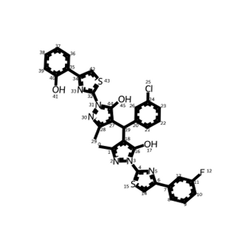 Cc1nn(-c2nc(-c3cccc(F)c3)cs2)c(O)c1C(c1cccc(Cl)c1)c1c(C)nn(-c2nc(-c3ccccc3O)cs2)c1O